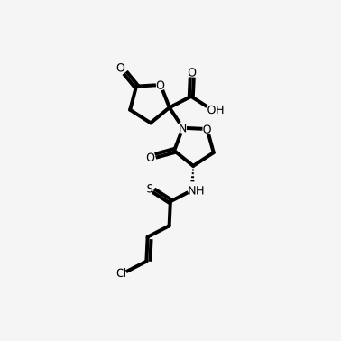 O=C1CCC(C(=O)O)(N2OC[C@H](NC(=S)CC=CCl)C2=O)O1